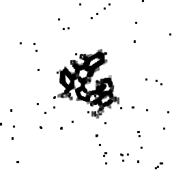 Cc1cccc(-n2c(C3CCCN3c3ncnc4c3C(=O)N(C)CN4)nc3cccc(Cl)c3c2=O)c1